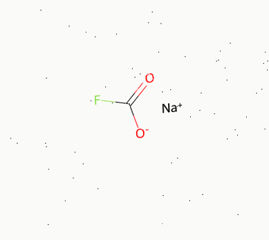 O=C([O-])F.[Na+]